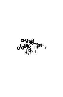 N=C(N)NCCCCNC(=O)[C@H](Cc1ccc(-c2ccccc2)cc1)NC(=O)[C@H](CCCNC(=N)N)NC(=O)[C@H](N)Cc1ccc(-c2ccccc2)cc1